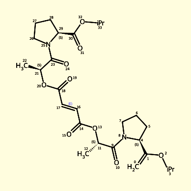 C=C(OC(C)C)[C@@H]1CCCN1C(=O)[C@H](C)OC(=O)/C=C/C(=O)O[C@@H](C)C(=O)N1CCC[C@H]1C(=O)OC(C)C